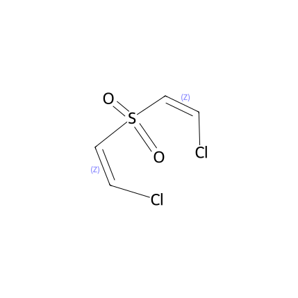 O=S(=O)(/C=C\Cl)/C=C\Cl